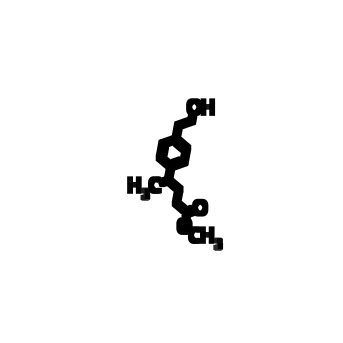 COC(=O)CCC(C)c1ccc(CCO)cc1